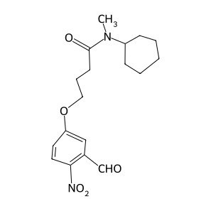 CN(C(=O)CCCOc1ccc([N+](=O)[O-])c(C=O)c1)C1CCCCC1